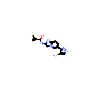 Cc1c[nH]nc1-c1ccc2nc(NC(=O)C3CC3F)cn2c1